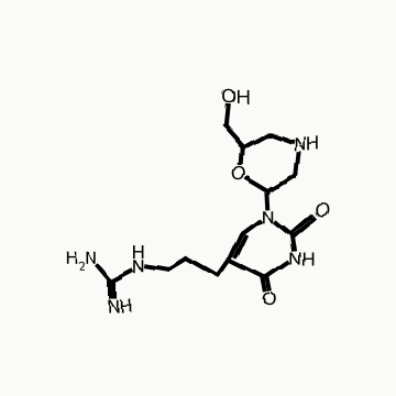 N=C(N)NCCCc1cn(C2CNCC(CO)O2)c(=O)[nH]c1=O